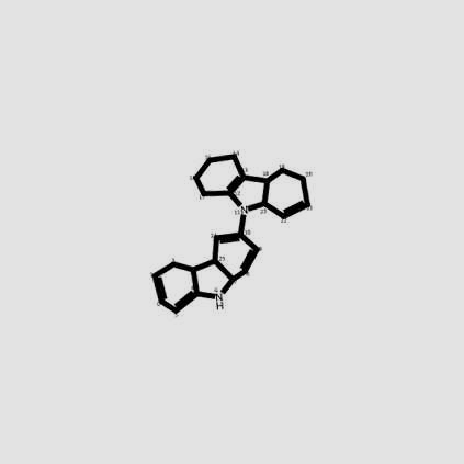 C1=CCC2C(=C1)NC1C=CC(N3C4=C(CCCC4)C4CCC=CC43)=CC12